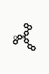 c1ccc2cc(-c3ccc(N(c4ccc(-c5cccc6ccccc56)cc4)c4ccc5oc6ccccc6c5c4)cc3)ccc2c1